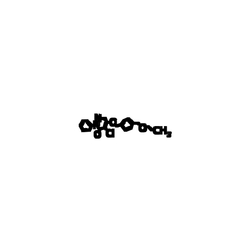 CCCOCc1ccc(COc2cnn(-c3ccccc3)c(=O)c2Cl)cc1